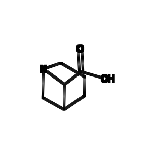 O=C(O)C1C2CCCN1C2